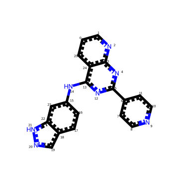 c1cnc2nc(-c3ccncc3)nc(Nc3ccc4cn[nH]c4c3)c2c1